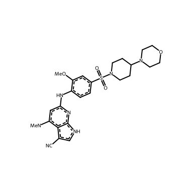 CNc1cc(Nc2ccc(S(=O)(=O)N3CCC(N4CCOCC4)CC3)cc2OC)nc2[nH]cc(C#N)c12